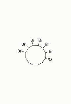 O=C1CCCCCC(Br)C(Br)C(Br)C(Br)C(Br)C1Br